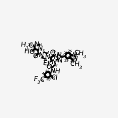 CCc1c(N2CCN(C(=O)c3ncnc(C)c3O)CC2)c(=O)n2nc(-c3ccc4c(c3)c(C)nn4C)nc2n1CC(=O)Nc1ccc(C(F)(F)F)cc1Cl